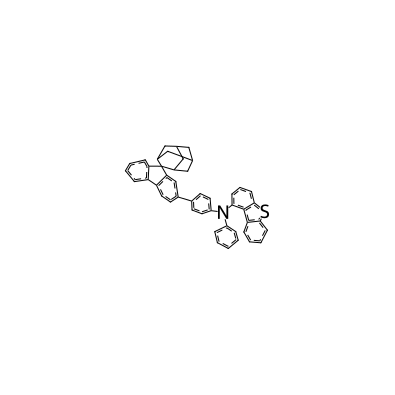 c1ccc(N(c2ccc(-c3ccc4c(c3)C3(c5ccccc5-4)C4CC5CC(C4)CC3C5)cc2)c2cccc3sc4ccccc4c23)cc1